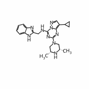 C[C@@H]1CN(c2nc(NCc3nc4ccccc4[nH]3)n3ncc(C4CC4)c3n2)C[C@H](C)N1